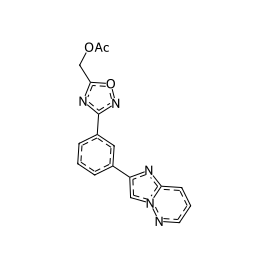 CC(=O)OCc1nc(-c2cccc(-c3cn4ncccc4n3)c2)no1